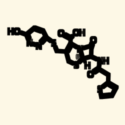 O=C(Cc1cccs1)NC1C(=O)N2C(C(=O)O)=C(CSc3ccc(O)nn3)CS[C@H]12